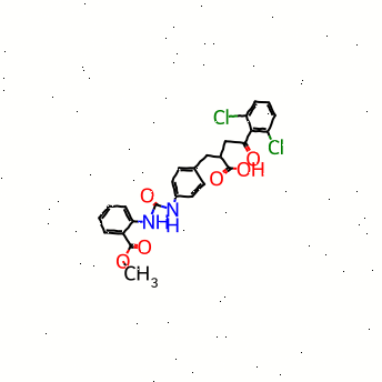 COC(=O)c1ccccc1NC(=O)Nc1ccc(CC(CC(=O)c2c(Cl)cccc2Cl)C(=O)O)cc1